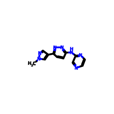 Cn1cc(-c2ccc(Nc3cnccn3)nn2)cn1